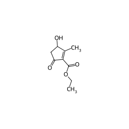 CCOC(=O)C1=C(C)C(O)CC1=O